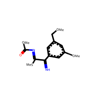 COCc1cc(OC)cc(C(=N)C(=NC(=O)OC)SC)c1